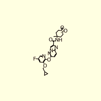 CC1(NC(=O)c2cn3nc(Oc4ncc(F)cc4OCC4CC4)ccc3n2)CCS(=O)(=O)CC1